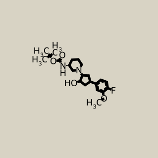 COc1cc(C2CC(O)C(N3CCC[C@@H](NC(=O)OC(C)(C)C)C3)C2)ccc1F